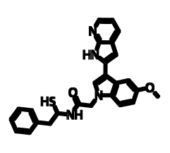 COc1ccc2c(c1)c(-c1cc3cccnc3[nH]1)cn2CC(=O)NC(S)Cc1ccccc1